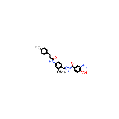 COc1cc(NC(=O)CCc2ccc(C(F)(F)F)cc2)ccc1/C=N/NC(=O)c1ccc(O)c(N)c1